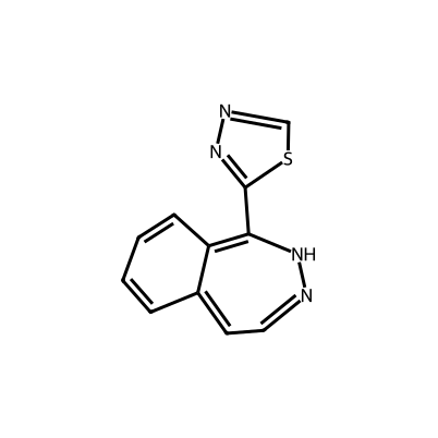 C1=NNC(c2nncs2)=c2ccccc2=C1